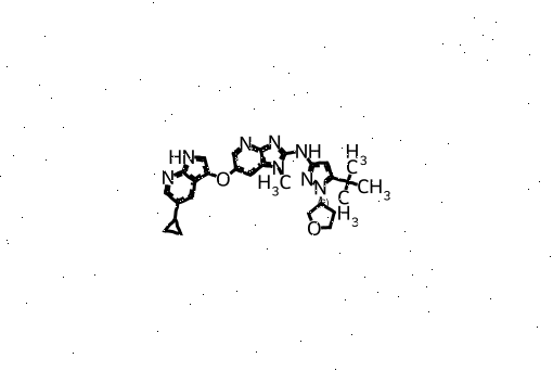 Cn1c(Nc2cc(C(C)(C)C)n([C@@H]3CCOC3)n2)nc2ncc(Oc3c[nH]c4ncc(C5CC5)cc34)cc21